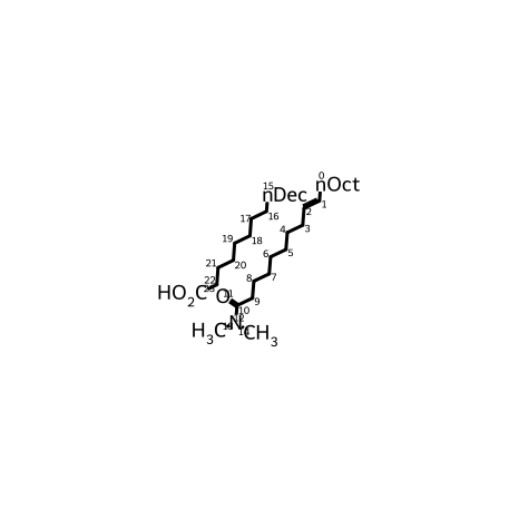 CCCCCCCCC=CCCCCCCCC(=O)N(C)C.CCCCCCCCCCCCCCCCCC(=O)O